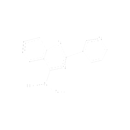 CCCCCCCCCN(C)c1nc(-c2cccnc2)nc2ccccc12